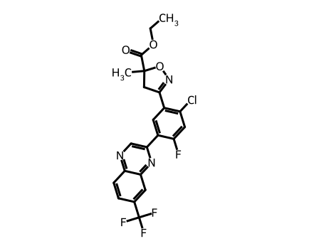 CCOC(=O)C1(C)CC(c2cc(-c3cnc4ccc(C(F)(F)F)cc4n3)c(F)cc2Cl)=NO1